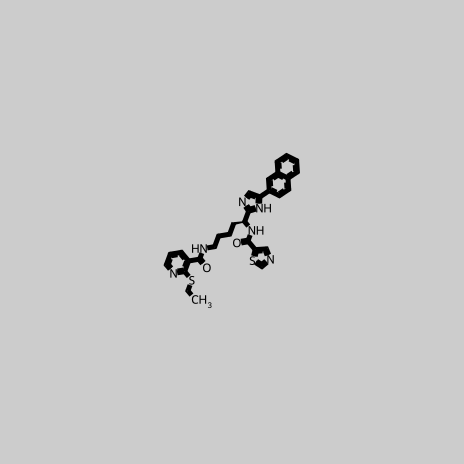 CCSc1ncccc1C(=O)NCCCC[C@H](NC(=O)c1cncs1)c1ncc(-c2ccc3ccccc3c2)[nH]1